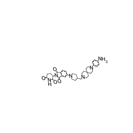 Nc1ccc(N2CCC3(CCN(CC4CCN(c5ccc6c(c5)C(=O)N(C5CCC(=O)NC5=O)C6=O)CC4)CC3)CC2)cc1